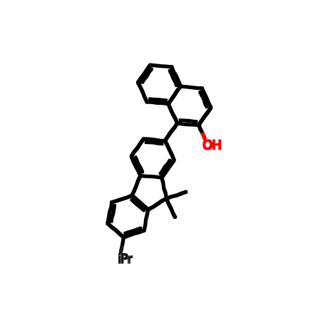 CC(C)c1ccc2c(c1)C(C)(C)c1cc(-c3c(O)ccc4ccccc34)ccc1-2